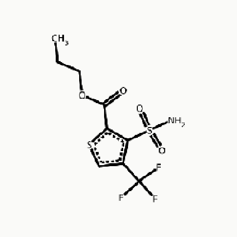 CCCOC(=O)c1scc(C(F)(F)F)c1S(N)(=O)=O